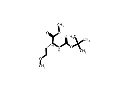 COCC[C@@H](NC(=O)OC(C)(C)C)C(=O)OC